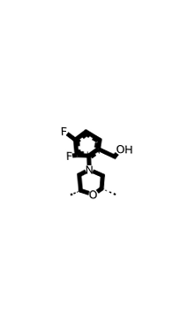 C[C@@H]1CN(c2c(CO)ccc(F)c2F)C[C@H](C)O1